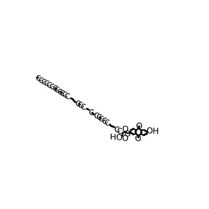 C=C=C=C=C=C=C=C=C=C=C=C=C=C=C=C=C=C=C=C=C=C=C=C=C=C=C=C=C=C=C=C=C=C(C(=O)O)C(=O)Oc1ccc2c(c1)C(=O)c1ccc(O)cc1C2=O